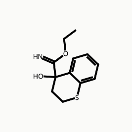 CCOC(=N)C1(O)CCSc2ccccc21